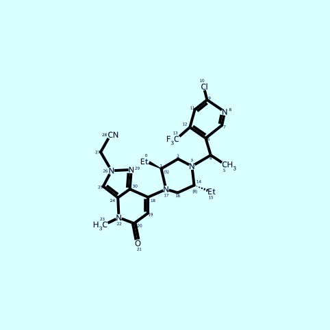 CC[C@H]1CN(C(C)c2cnc(Cl)cc2C(F)(F)F)[C@H](CC)CN1c1cc(=O)n(C)c2cn(CC#N)nc12